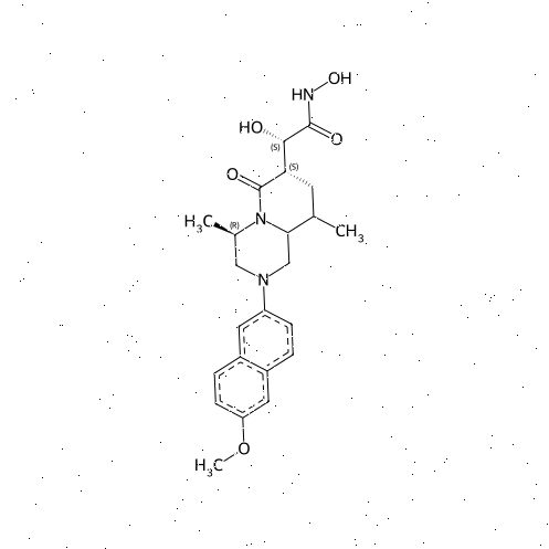 COc1ccc2cc(N3CC4C(C)C[C@@H]([C@H](O)C(=O)NO)C(=O)N4[C@H](C)C3)ccc2c1